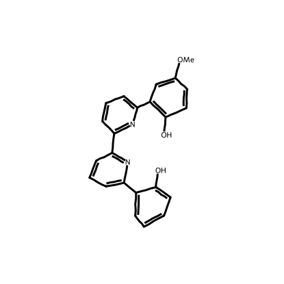 COc1ccc(O)c(-c2cccc(-c3cccc(-c4ccccc4O)n3)n2)c1